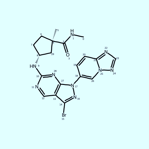 CNC(=O)[C@]1(C)CC[C@@H](Nc2ncc3c(Br)nn(-c4ccc5ncnn5c4)c3n2)C1